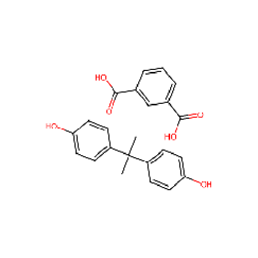 CC(C)(c1ccc(O)cc1)c1ccc(O)cc1.O=C(O)c1cccc(C(=O)O)c1